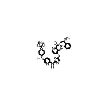 CCCC(CN(O)C(=O)c1nccc(Sc2cnc(Nc3ccc(NC4CCN(C(=O)OC(C)(C)C)CC4)cn3)s2)c1F)c1ccccc1